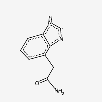 NC(=O)Cc1cccc2[nH][c]nc12